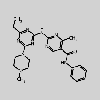 CCc1nc(Nc2ncc(C(=O)Nc3ccccc3)c(C)n2)nc(N2CCN(C)CC2)n1